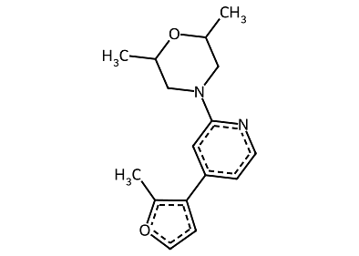 Cc1occc1-c1ccnc(N2CC(C)OC(C)C2)c1